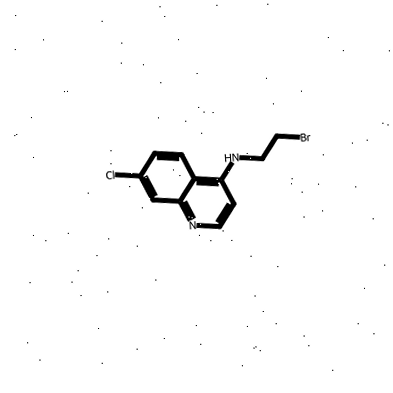 Clc1ccc2c(NCCBr)ccnc2c1